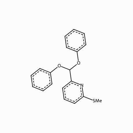 CSc1cccc(C(Oc2ccccc2)Oc2ccccc2)n1